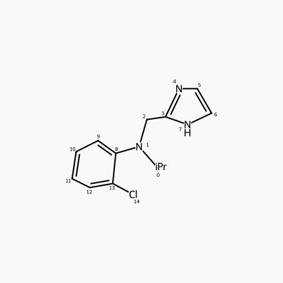 CC(C)N(Cc1ncc[nH]1)c1ccccc1Cl